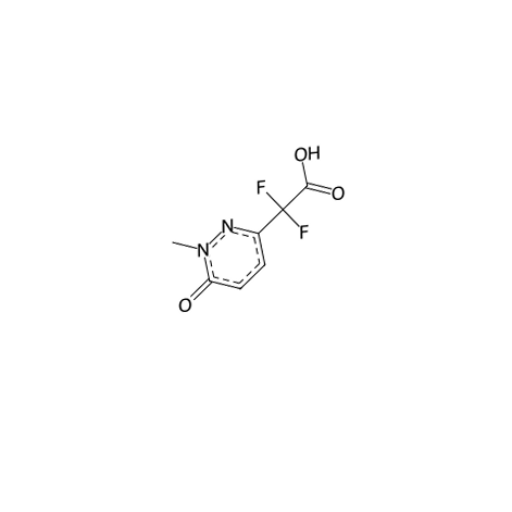 Cn1nc(C(F)(F)C(=O)O)ccc1=O